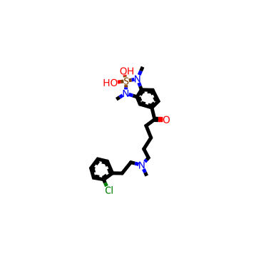 CN(CCCCC(=O)c1ccc2c(c1)N(C)S(O)(O)N2C)CCc1ccccc1Cl